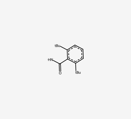 CC(C)(C)c1cccc(C(C)(C)C)c1C([NH])=O